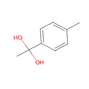 Cc1ccc(C(C)(O)O)cc1